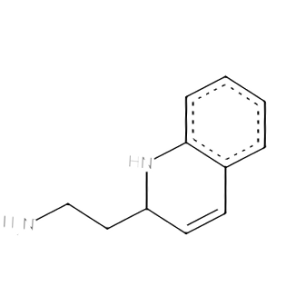 NCCC1C=Cc2ccccc2N1